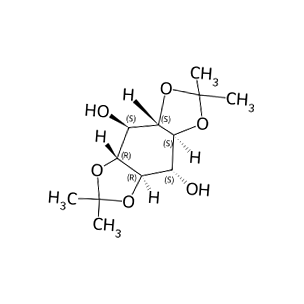 CC1(C)O[C@@H]2[C@@H](O)[C@@H]3OC(C)(C)O[C@H]3[C@H](O)[C@H]2O1